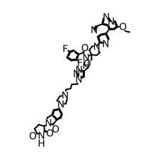 CCOc1cc(-c2ccc(N3CCC(COCc4cn(CCCCN5CCN(c6ccc7c(c6)CN(C6CCC(=O)NC6=O)C7=O)CC5)nn4)(NC(=O)c4cc(F)ccc4F)CC3)nc2)c2c(C#N)cnn2c1